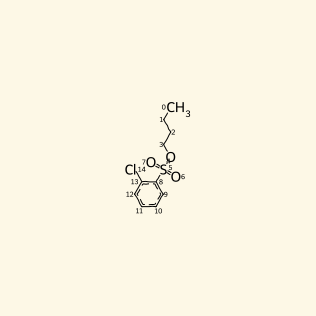 CCCCOS(=O)(=O)c1ccccc1Cl